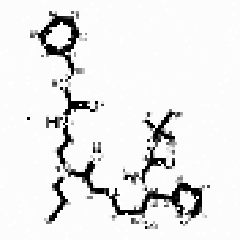 CCCN(CCNC(=O)OCc1ccccc1)C(=O)COC[C@@H](C)[C@@H](c1ccco1)N(C)C(=O)OC(C)(C)C